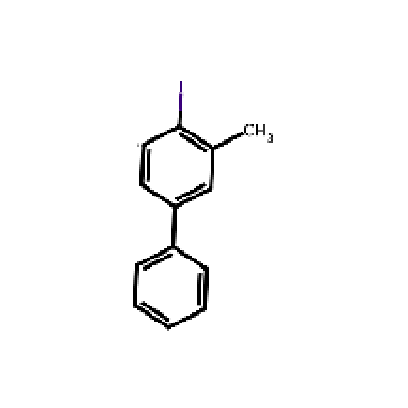 Cc1cc(-c2ccccc2)c[c]c1I